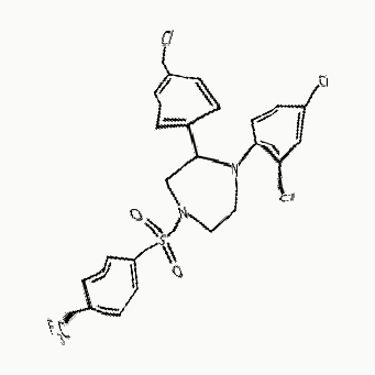 O=S(=O)(c1ccc(C(F)(F)F)cc1)N1CCN(c2ccc(Cl)cc2Cl)C(c2ccc(Cl)cc2)C1